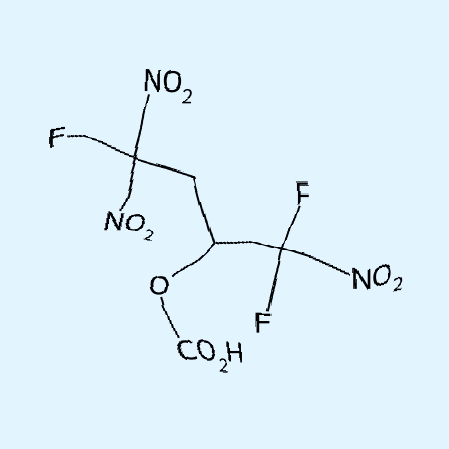 O=C(O)OC(CC(F)([N+](=O)[O-])[N+](=O)[O-])C(F)(F)[N+](=O)[O-]